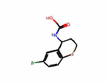 O=C(O)NC1CCSc2ccc(Br)cc21